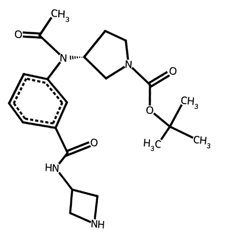 CC(=O)N(c1cccc(C(=O)NC2CNC2)c1)[C@@H]1CCN(C(=O)OC(C)(C)C)C1